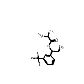 CC(C)C(=O)NC(CO)c1cccc(C(F)(F)F)c1